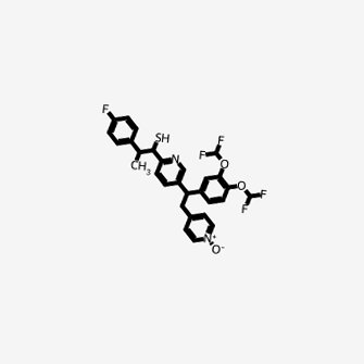 CC(c1ccc(F)cc1)C(S)c1ccc(C(Cc2cc[n+]([O-])cc2)c2ccc(OC(F)F)c(OC(F)F)c2)cn1